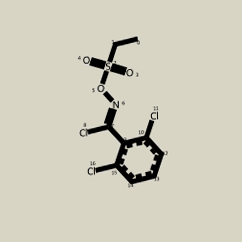 CCS(=O)(=O)ON=C(Cl)c1c(Cl)cccc1Cl